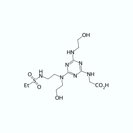 CCS(=O)(=O)NCCN(CCO)c1nc(NCCO)nc(NCC(=O)O)n1